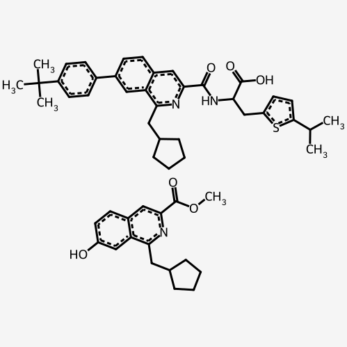 CC(C)c1ccc(CC(NC(=O)c2cc3ccc(-c4ccc(C(C)(C)C)cc4)cc3c(CC3CCCC3)n2)C(=O)O)s1.COC(=O)c1cc2ccc(O)cc2c(CC2CCCC2)n1